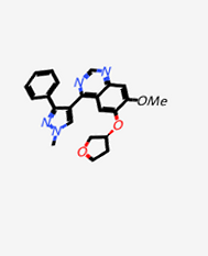 COc1cc2ncnc(-c3cn(C)nc3-c3ccccc3)c2cc1O[C@H]1CCOC1